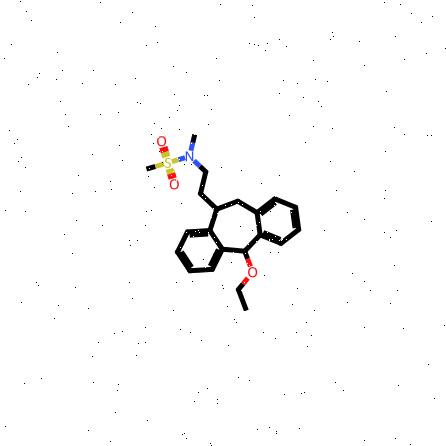 CCOC1c2ccccc2CC(CCN(C)S(C)(=O)=O)c2ccccc21